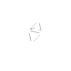 S1S23SS12S3